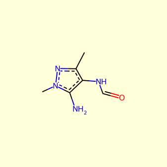 Cc1nn(C)c(N)c1NC=O